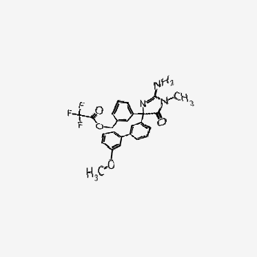 COc1cccc(-c2cccc(C3(c4cccc(COC(=O)C(F)(F)F)c4)N=C(N)N(C)C3=O)c2)c1